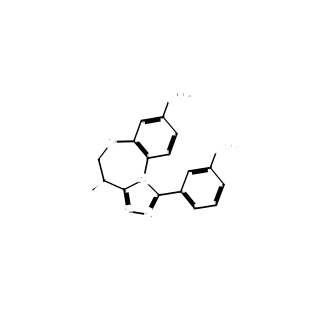 COc1cccc(-c2nnc3n2-c2ccc(OC)cc2NC[C@@H]3C)c1